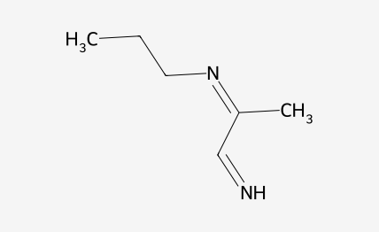 CCCN=C(C)C=N